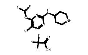 FC(F)Oc1nc(NC2CCNCC2)ncc1Cl.O=C(O)C(F)(F)F